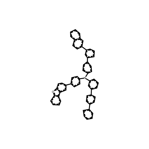 c1ccc(-c2ccc(-c3cccc(N(c4ccc(-c5cccc(-c6ccc7ccccc7c6)c5)cc4)c4ccc(-c5ccc6oc7ccccc7c6c5)cc4)c3)cc2)cc1